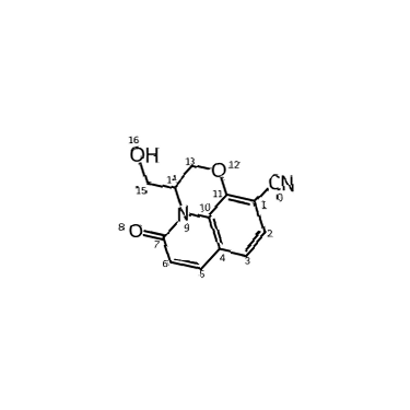 N#Cc1ccc2ccc(=O)n3c2c1OCC3CO